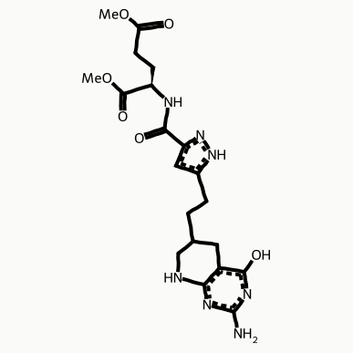 COC(=O)CC[C@@H](NC(=O)c1cc(CCC2CNc3nc(N)nc(O)c3C2)[nH]n1)C(=O)OC